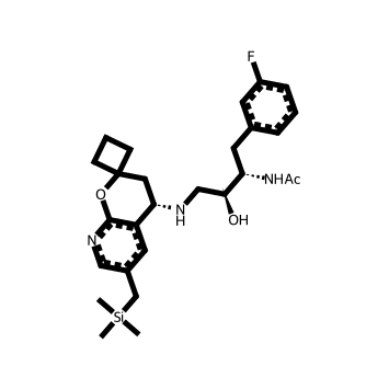 CC(=O)N[C@@H](Cc1cccc(F)c1)[C@@H](O)CN[C@H]1CC2(CCC2)Oc2ncc(C[Si](C)(C)C)cc21